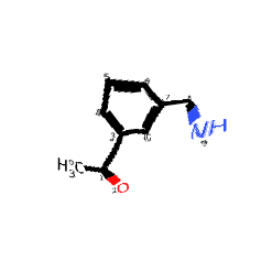 CC(=O)c1cccc(C=N)c1